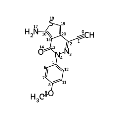 C#Cc1nn(-c2ccc(OC)cc2)c(=O)c2c(N)scc12